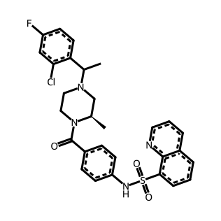 CC(c1ccc(F)cc1Cl)N1CCN(C(=O)c2ccc(NS(=O)(=O)c3cccc4cccnc34)cc2)[C@H](C)C1